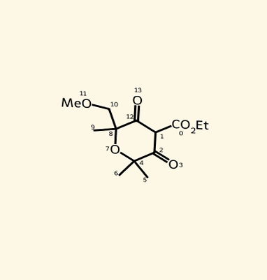 CCOC(=O)C1C(=O)C(C)(C)OC(C)(COC)C1=O